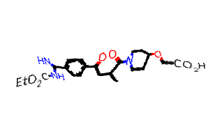 CCOC(=O)NC(=N)c1ccc(C(=O)CC(C)C(=O)N2CCC(OCC(=O)O)CC2)cc1